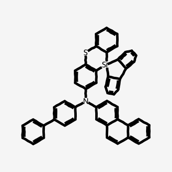 c1ccc(-c2ccc(N(c3ccc4c(c3)[Si]3(c5ccccc5S4)c4ccccc4-c4ccccc43)c3ccc4c(ccc5ccccc54)c3)cc2)cc1